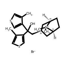 Cc1cscc1C(O)(C[C@H]1C[C@H]2CC[C@@H](C1)[N+]2(C)C)c1cscc1C.[Br-]